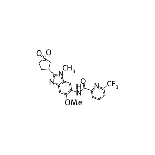 COc1cc2nc(C3CCS(=O)(=O)C3)n(C)c2cc1NC(=O)c1cccc(C(F)(F)F)n1